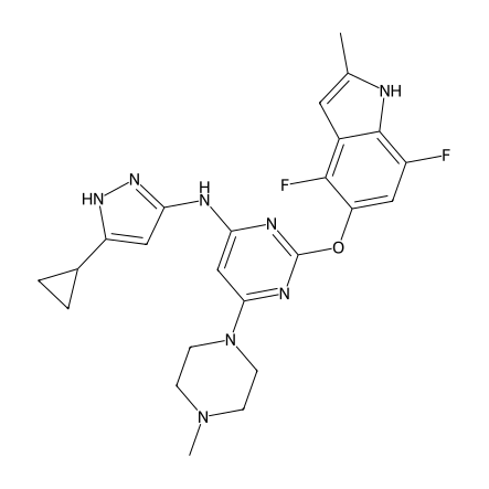 Cc1cc2c(F)c(Oc3nc(Nc4cc(C5CC5)[nH]n4)cc(N4CCN(C)CC4)n3)cc(F)c2[nH]1